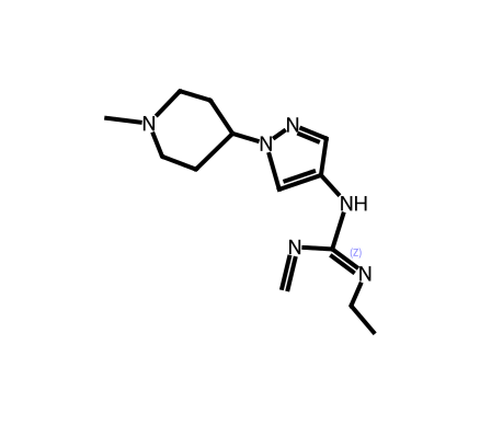 C=N/C(=N\CC)Nc1cnn(C2CCN(C)CC2)c1